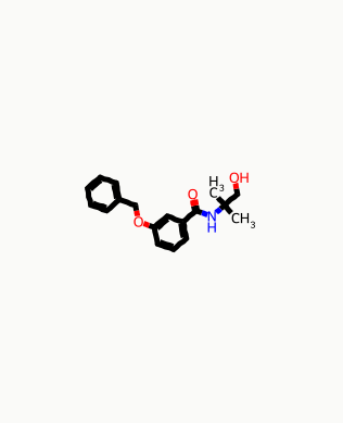 CC(C)(CO)NC(=O)c1cccc(OCc2ccccc2)c1